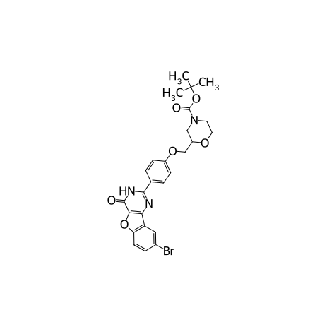 CC(C)(C)OC(=O)N1CCOC(COc2ccc(-c3nc4c(oc5ccc(Br)cc54)c(=O)[nH]3)cc2)C1